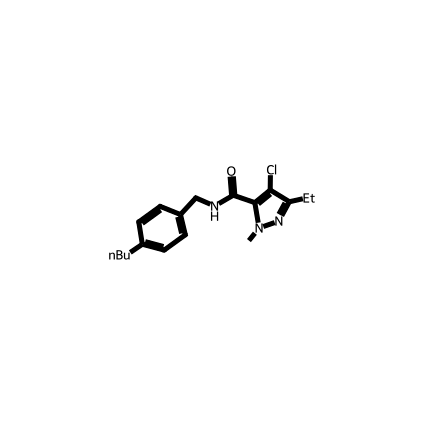 CCCCc1ccc(CNC(=O)c2c(Cl)c(CC)nn2C)cc1